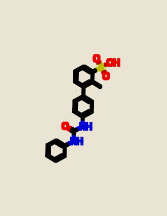 Cc1c(-c2ccc(NC(=O)Nc3ccccc3)cc2)cccc1S(=O)(=O)O